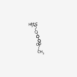 CCCCCC(=O)Oc1ccc(-c2ccc(C3=CCC(CCC(CC)CC)CC3)cc2)cc1